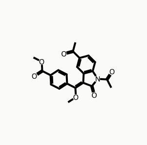 COC(=O)c1ccc(/C(OC)=C2/C(=O)N(C(C)=O)c3ccc(C(C)=O)cc32)cc1